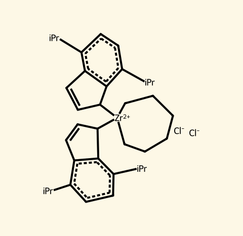 CC(C)c1ccc(C(C)C)c2c1C=C[CH]2[Zr+2]1([CH]2C=Cc3c(C(C)C)ccc(C(C)C)c32)[CH2]CCCC[CH2]1.[Cl-].[Cl-]